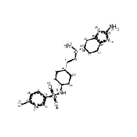 CCCN(CC[C@H]1CC[C@H](NS(=O)(=O)c2ccc(Cl)nc2)CC1)[C@H]1CCc2nc(N)sc2C1